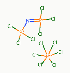 ClP(Cl)(Cl)=N[P+](Cl)(Cl)Cl.Cl[P-](Cl)(Cl)(Cl)(Cl)Cl